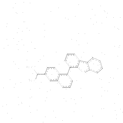 CC(C)c1ccc2c(-c3cccc4c3sc3ccccc34)cccc2c1